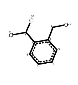 [O]Cc1ccccc1C(Cl)Cl